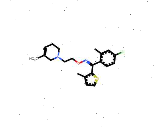 Cc1cc(Cl)ccc1C(=NOCCN1CCC=C(C(=O)O)C1)c1sccc1C